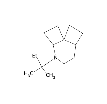 CCC(C)(C)N1CCC2CCC23CCC13